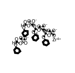 O=[PH](Oc1ccccc1)OS(=O)(=O)[O-].O=[PH](Oc1ccccc1)OS(=O)(=O)[O-].O=[PH](Oc1ccccc1)OS(=O)(=O)[O-].O=[PH](Oc1ccccc1)OS(=O)(=O)[O-].[Zr+4]